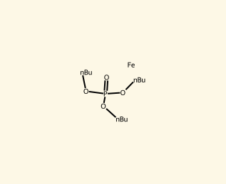 CCCCOP(=O)(OCCCC)OCCCC.[Fe]